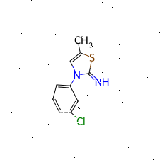 Cc1cn(-c2cccc(Cl)c2)c(=N)s1